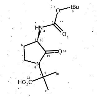 CC(C)(C)OC(=O)N[C@@H]1CCN(C(C)(C)C(=O)O)C1=O